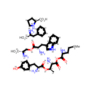 CSCC[C@H](N)C(=O)OC(=O)[C@@H](N)[C@@H](C)OC(=O)[C@@H](N)Cc1ccc(O)cc1.N[C@@H](COC(=O)[C@@H](N)Cc1c[nH]c2ccccc12)C(=O)O.N[C@@H](Cc1ccccc1)C(=O)O.O=C(O)[C@@H]1CCCN1